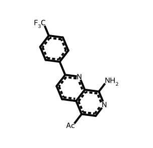 CC(=O)c1cnc(N)c2nc(-c3ccc(C(F)(F)F)cc3)ccc12